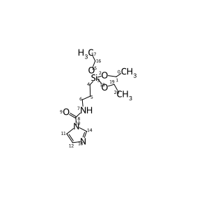 CCO[Si](CCCNC(=O)n1ccnc1)(OCC)OCC